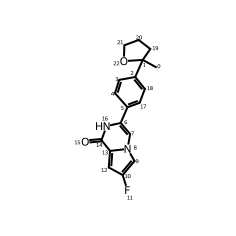 CC1(c2ccc(-c3cn4cc(F)cc4c(=O)[nH]3)cc2)CCCO1